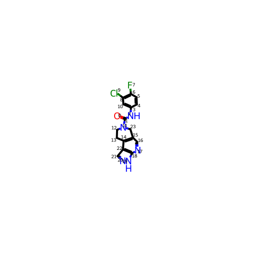 O=C(Nc1ccc(F)c(Cl)c1)N1CCc2c(cnc3[nH]ncc23)C1